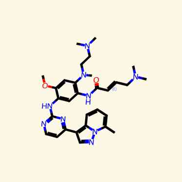 COc1cc(N(C)CCN(C)C)c(NC(=O)/C=C/CN(C)C)cc1Nc1nccc(-c2cnn3c(C)cccc23)n1